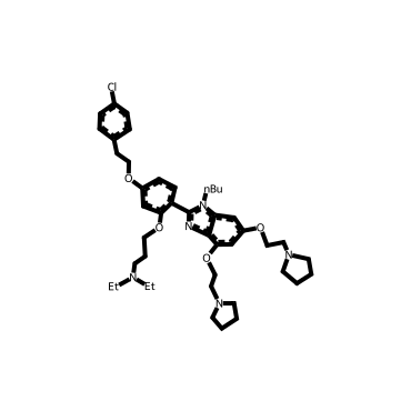 CCCCn1c(-c2ccc(OCCc3ccc(Cl)cc3)cc2OCCCN(CC)CC)nc2c(OCCN3CCCC3)cc(OCCN3CCCC3)cc21